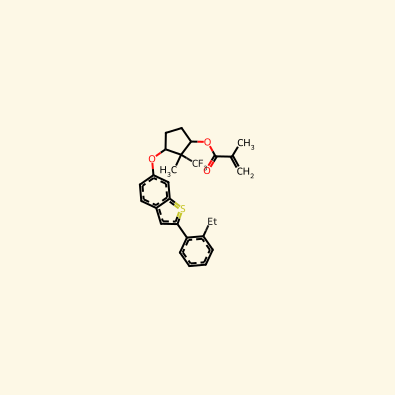 C=C(C)C(=O)OC1CCC(Oc2ccc3cc(-c4ccccc4CC)sc3c2)C1(C)C(F)(F)F